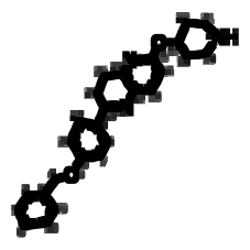 c1ccc(COc2ccc(C3=Nc4ccc(OC5CCNCC5)nc4CC3)cc2)cc1